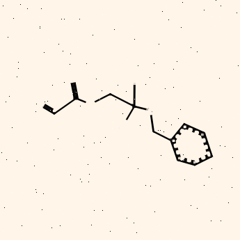 C=CC(=O)OCC(C)(C)NCc1ccccc1